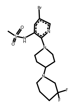 CS(=O)(=O)Nc1cc(Br)cnc1N1CCC(N2CCCC(F)(F)C2)CC1